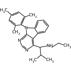 CCCNC(c1ncnc2c1c1ccccc1n2-c1c(C)cc(C)cc1C)C(C)C